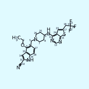 CCOc1c(CN2CCC(Nc3ncnc4sc(CC(F)(F)F)cc34)CC2)ccc2[nH]c(C#N)cc12